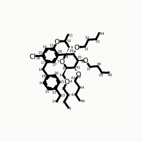 CCCCOC[C@H]1O[C@]2(CC(C)Oc3cc(Cl)c(Cc4ccc(CC)cc4)cc32)[C@H](OCCCC)[C@@H](OCCCC)[C@@H]1OCCCC